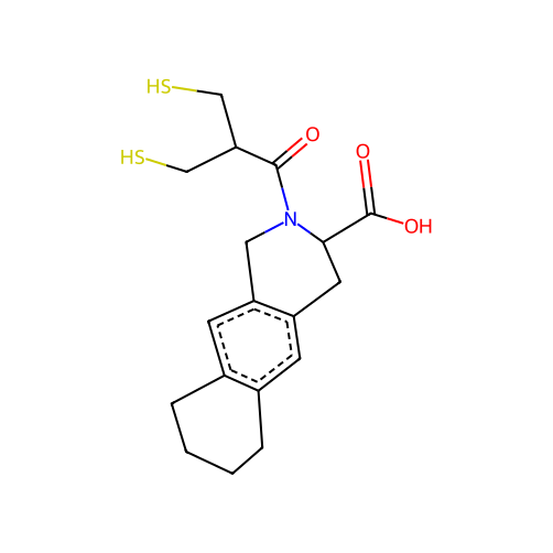 O=C(O)C1Cc2cc3c(cc2CN1C(=O)C(CS)CS)CCCC3